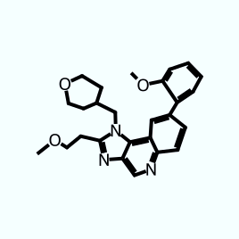 COCCc1nc2cnc3ccc(-c4ccccc4OC)cc3c2n1CC1CCOCC1